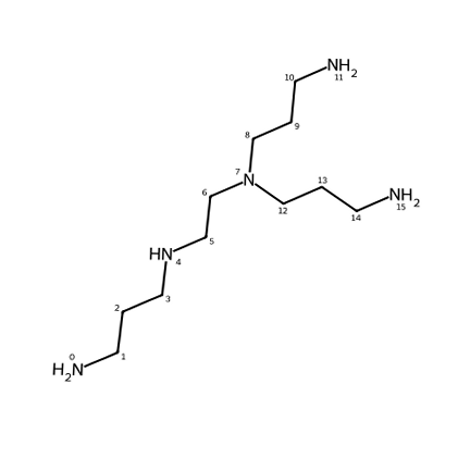 NCCCNCCN(CCCN)CCCN